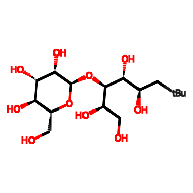 CC(C)(C)C[C@@H](O)[C@@H](O)[C@H](O[C@H]1O[C@H](CO)[C@@H](O)[C@H](O)[C@@H]1O)[C@H](O)CO